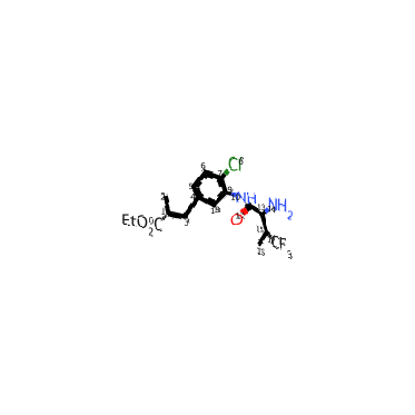 CCOC(=O)[C@H](C)Cc1ccc(Cl)c(NC(=O)C(N)C(C)C(F)(F)F)c1